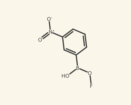 O=[N+]([O-])c1cccc(B(O)OF)c1